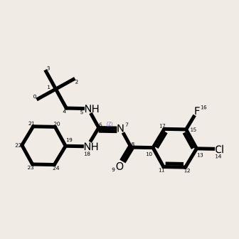 CC(C)(C)CN/C(=N/C(=O)c1ccc(Cl)c(F)c1)NC1CCCCC1